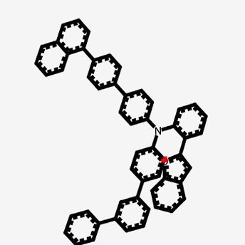 c1ccc(-c2cccc(-c3ccc(N(c4ccc(-c5ccc(-c6cccc7ccccc67)cc5)cc4)c4ccccc4-c4cc5ccccc5o4)cc3)c2)cc1